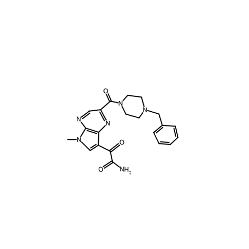 Cn1cc(C(=O)C(N)=O)c2nc(C(=O)N3CCN(Cc4ccccc4)CC3)cnc21